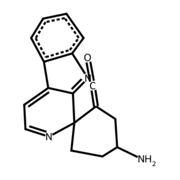 NC1CCC2(N=CC=C3C2=Nc2ccccc23)C(=C=O)C1